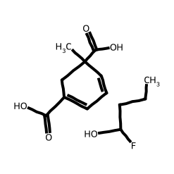 CC1(C(=O)O)C=CC=C(C(=O)O)C1.CCCC(O)F